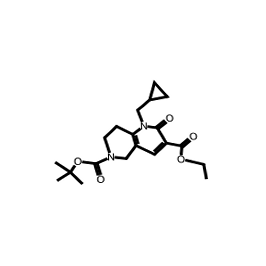 CCOC(=O)c1cc2c(n(CC3CC3)c1=O)CCN(C(=O)OC(C)(C)C)C2